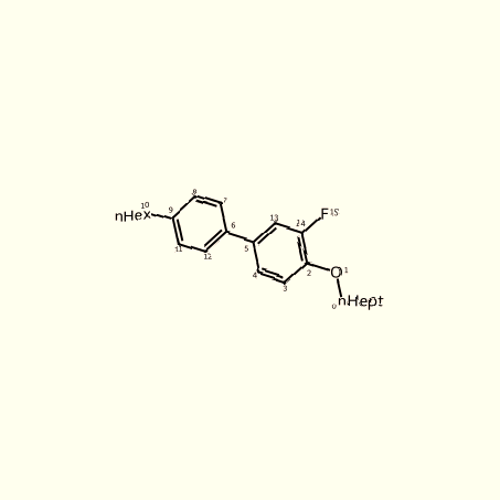 CCCCCCCOc1ccc(-c2ccc(CCCCCC)cc2)cc1F